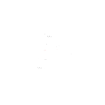 CCCCOC1C2OC3OC(C2OC)C(OC)C1O3